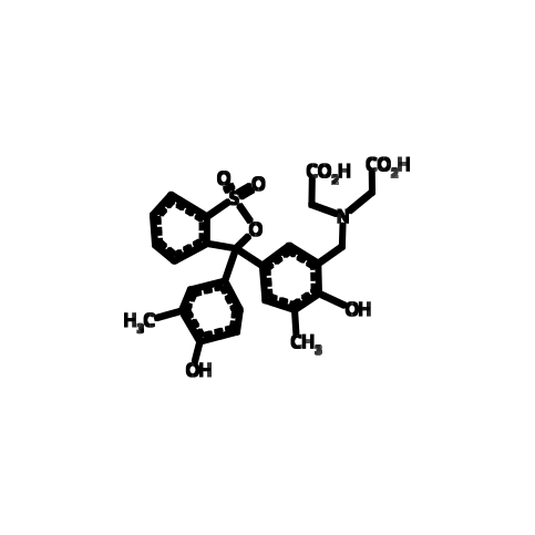 Cc1cc(C2(c3cc(C)c(O)c(CN(CC(=O)O)CC(=O)O)c3)OS(=O)(=O)c3ccccc32)ccc1O